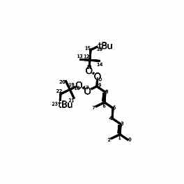 CC(C)=CCC/C(C)=C/C(OOC(C)(C)CC(C)(C)C)OOC(C)(C)CC(C)(C)C